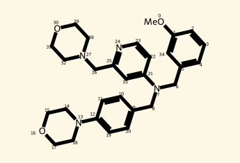 COc1cccc(CN(Cc2ccc(N3CCOCC3)cc2)c2ccnc(CN3CCOCC3)c2)c1